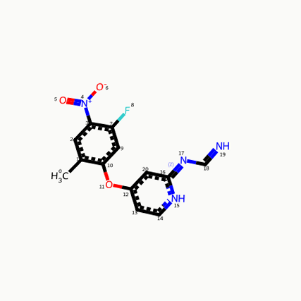 Cc1cc([N+](=O)[O-])c(F)cc1Oc1cc[nH]/c(=N\C=N)c1